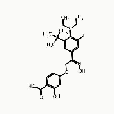 CCN(CC)c1c(F)cc(C(COc2ccc(C(=O)O)c(O)c2)=NO)cc1C(C)(C)C